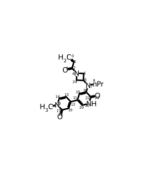 C=CC(=O)N1CC(N(CCC)c2cc(-c3ccn(C)c(=O)c3)c[nH]c2=O)C1